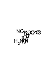 CN(CCC#N)c1c(OC2CCC(N3CCOCC3)CC2)ccc2c1CC(C)(C)c1c(N)ncnc1-2